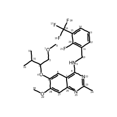 COCC(Oc1cc2c(NCc3cccc(C(F)(F)F)c3F)nc(C)nc2cc1OC)C(C)C